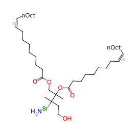 CCCCCCCC/C=C\CCCCCCCC(=O)OCC(C)(OC(=O)CCCCCCC/C=C\CCCCCCCC)C(C)(Br)CCO.N